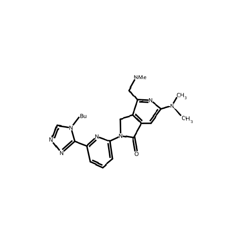 CCC(C)n1cnnc1-c1cccc(N2Cc3c(cc(N(C)C)nc3CNC)C2=O)n1